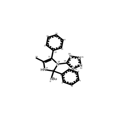 CCCCC1(c2ccccc2)NC(C)=C(c2ccccc2)N1c1nnn[nH]1